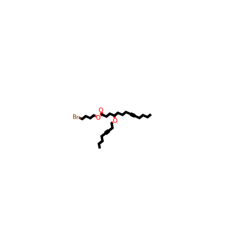 CCCCC#CCCCC(CCC(=O)OCCCCBr)OCCC#CCCCC